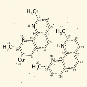 Cc1ccc2ccc3ccc(C)nc3c2n1.Cc1ccc2ccc3ccc(C)nc3c2n1.[Cu]